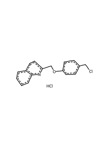 Cl.ClCc1ccc(OCc2ccc3ccccc3n2)cc1